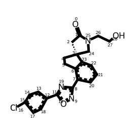 O=C1C[C@]2(CCc3c(-c4noc(-c5ccc(Cl)cc5)n4)cccc32)CN1CCO